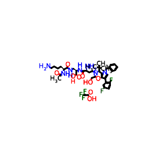 CC(=O)N[C@@H](CCCCN)C(=O)NC[C@@H](NC(=O)[C@@H](N)CCN(C(=O)CO)[C@@H](c1cc(-c2cc(F)ccc2F)cn1Cc1ccccc1)C(C)(C)C)C(=O)O.O=C(O)C(F)(F)F